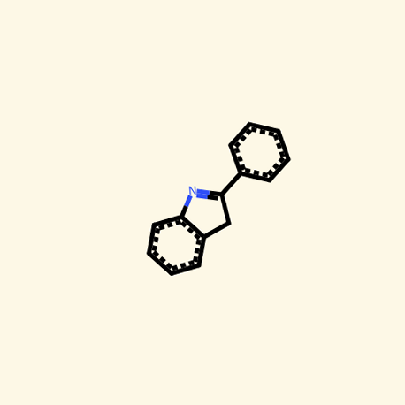 c1ccc(C2=Nc3ccccc3C2)cc1